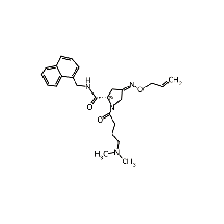 C=CCON=C1C[C@@H](C(=O)NCc2cccc3ccccc23)N(C(=O)CCCN(C)C)C1